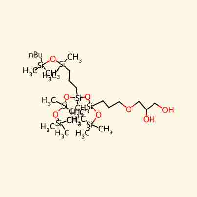 CCCC[Si](C)(C)O[Si](C)(C)CCC[Si](C)(O[Si](C)(C)O[Si](C)(C)C)O[Si](C)(CCCOCC(O)CO)O[Si](C)(C)C